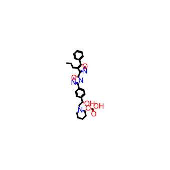 CCCc1c(-c2nc(-c3ccc(C(O)CN4CCCCC4OC(=O)O)cc3)no2)noc1-c1ccccc1